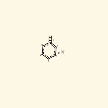 [In].c1cc[siH]cc1